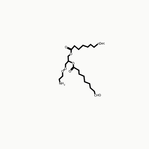 CCCCCCCCCCCCCCCCC(=O)OCC(COOCCN)OC(=O)CCCCCCCC=O